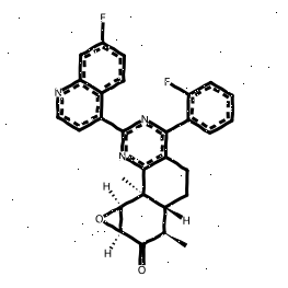 C[C@H]1C(=O)[C@H]2O[C@H]2[C@@]2(C)c3nc(-c4ccnc5cc(F)ccc45)nc(-c4ccccc4F)c3CC[C@H]12